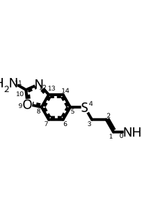 NC=CCSc1ccc2oc(N)nc2c1